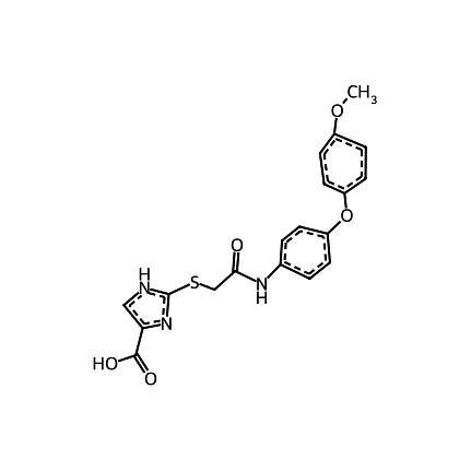 COc1ccc(Oc2ccc(NC(=O)CSc3nc(C(=O)O)c[nH]3)cc2)cc1